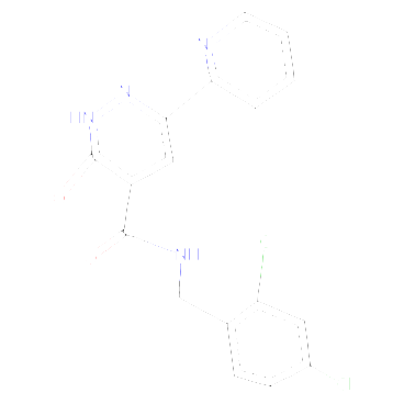 O=C(NCc1ccc(Cl)cc1Cl)c1cc(-c2ccccn2)n[nH]c1=O